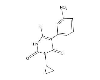 O=c1[nH]c(Cl)c(-c2cccc([N+](=O)[O-])c2)c(=O)n1C1CC1